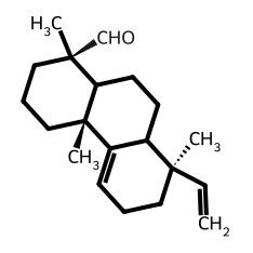 C=C[C@@]1(C)CCC=C2C1CCC1[C@@]2(C)CCC[C@@]1(C)C=O